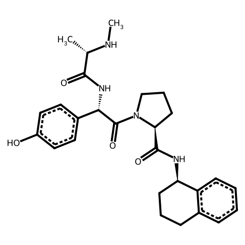 CN[C@@H](C)C(=O)N[C@H](C(=O)N1CCC[C@H]1C(=O)N[C@@H]1CCCc2ccccc21)c1ccc(O)cc1